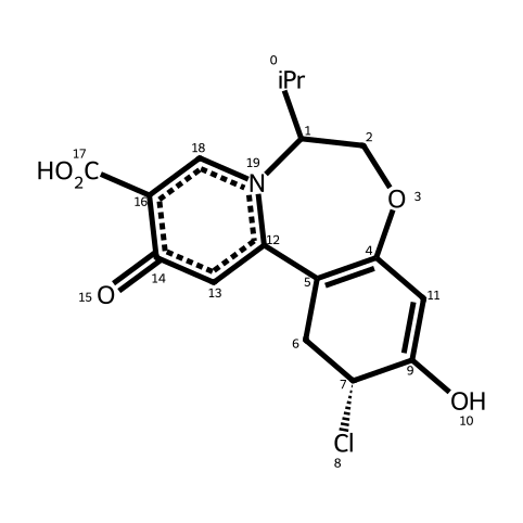 CC(C)C1COC2=C(C[C@@H](Cl)C(O)=C2)c2cc(=O)c(C(=O)O)cn21